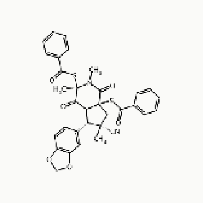 CN1C(=O)[C@]2(SC(=O)c3ccccc3)C[C@](C)(C#N)[C@H](c3ccc4c(c3)OCO4)C2C(=O)[C@]1(C)SC(=O)c1ccccc1